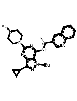 CCC(C)n1nc(C2CC2)c2nc(N3CCN(C(C)=O)CC3)nc(N[C@H](C)c3cnc4ccccc4c3)c21